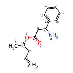 C=CC[C@@H](C)OC(=O)CC(N)c1ccccc1